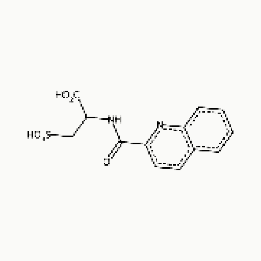 O=C(NC(CS(=O)(=O)O)C(=O)O)c1ccc2ccccc2n1